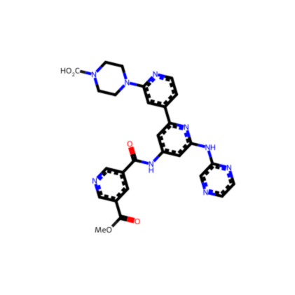 COC(=O)c1cncc(C(=O)Nc2cc(Nc3cnccn3)nc(-c3ccnc(N4CCN(C(=O)O)CC4)c3)c2)c1